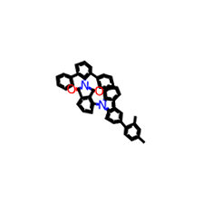 Cc1ccc(-c2ccc3c(c2)c2ccccc2n3-c2cccc3c2C(=O)N(c2c(-c4ccccc4)cccc2-c2ccccc2)C3=O)c(C)c1